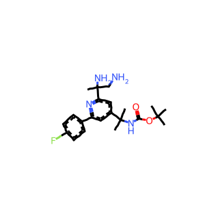 CC(C)(C)OC(=O)NC(C)(C)c1cc(-c2ccc(F)cc2)nc(C(C)(N)CN)c1